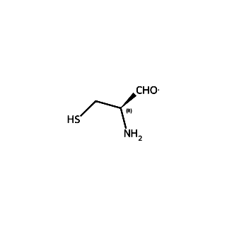 N[C@H]([C]=O)CS